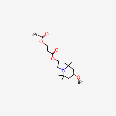 CC(C)OC1CC(C)(C)N(CCOC(=O)CCOC(=O)C(C)C)C(C)(C)C1